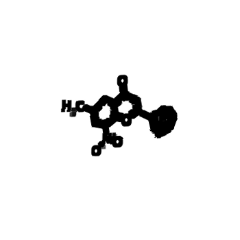 Cc1cc([N+](=O)[O-])c2oc([C]34[CH]5[CH]6[CH]7[CH]3[Fe]6754389%10[CH]4[CH]3[CH]8[CH]9[CH]4%10)cc(=O)c2c1